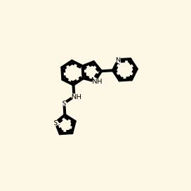 c1ccc(-c2cc3cccc(NSc4cccs4)c3[nH]2)nc1